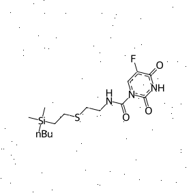 CCCC[Si](C)(C)CCSCCNC(=O)n1cc(F)c(=O)[nH]c1=O